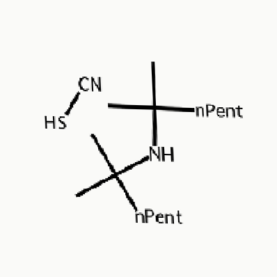 CCCCCC(C)(C)NC(C)(C)CCCCC.N#CS